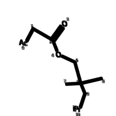 CC(=O)CC(=O)OCC(C)(C)CC(C)C